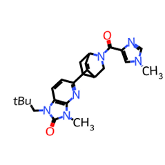 Cn1cnc(C(=O)N2CC3CCC2C=C3c2ccc3c(n2)n(C)c(=O)n3CC(C)(C)C)c1